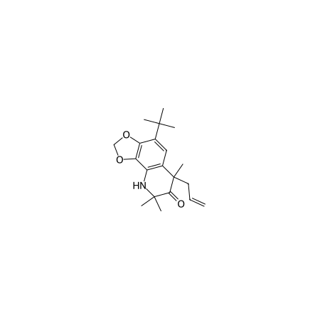 C=CCC1(C)C(=O)C(C)(C)Nc2c1cc(C(C)(C)C)c1c2OCO1